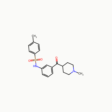 Cc1ccc(S(=O)(=O)Nc2cccc(C(=O)C3CCN(C)CC3)c2)cc1